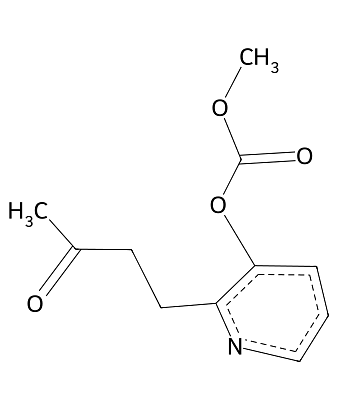 COC(=O)Oc1cccnc1CCC(C)=O